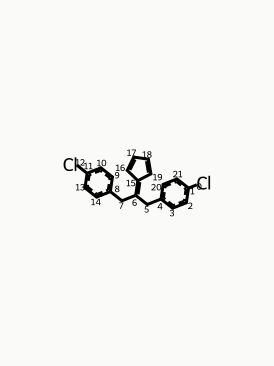 Clc1ccc(CC(Cc2ccc(Cl)cc2)=C2C=CC=C2)cc1